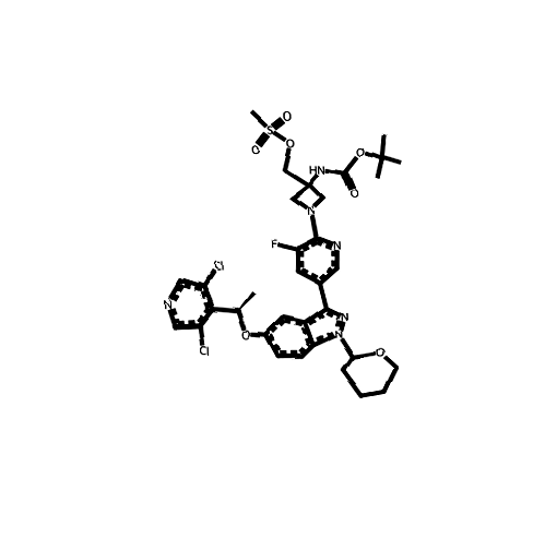 C[C@@H](Oc1ccc2c(c1)c(-c1cnc(N3CC(COS(C)(=O)=O)(NC(=O)OC(C)(C)C)C3)c(F)c1)nn2C1CCCCO1)c1c(Cl)cncc1Cl